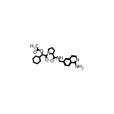 CC(=O)OC(C(=O)N1CCCC1C(=O)NCc1ccc2c(N)nccc2c1)C1CCCCC1